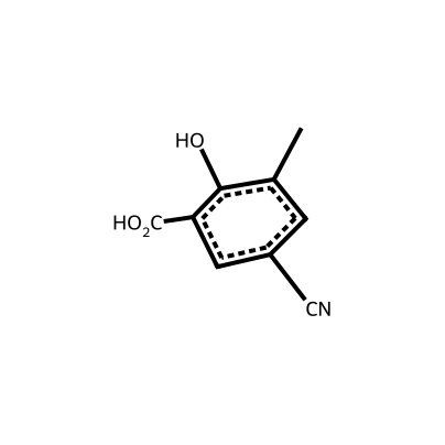 Cc1cc(C#N)cc(C(=O)O)c1O